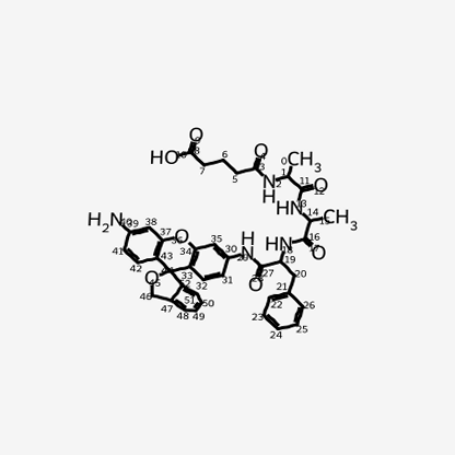 CC(NC(=O)CCCC(=O)O)C(=O)NC(C)C(=O)NC(Cc1ccccc1)C(=O)Nc1ccc2c(c1)Oc1cc(N)ccc1C21OCc2ccccc21